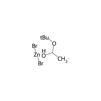 [Br][Zn][Br].[CH2]C(O)OC(C)(C)C